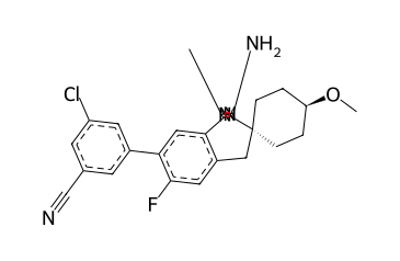 CO[C@H]1CC[C@]2(CC1)Cc1cc(F)c(-c3cc(Cl)cc(C#N)c3)cc1C21N=C(C)C(N)=N1